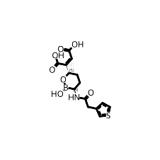 O=C(O)/C=C(\C(=O)O)[C@@H]1CC[C@H](NC(=O)Cc2ccsc2)B(O)O1